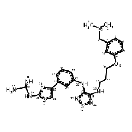 CN(C)Cc1cccc(OCCCNc2nsnc2Nc2cccc(-c3csc(NC(=N)N)n3)c2)c1